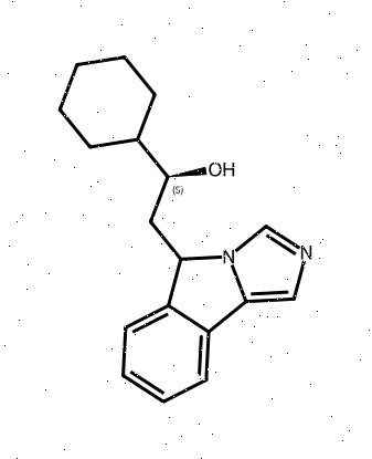 O[C@@H](CC1c2ccccc2-c2cncn21)C1CCCCC1